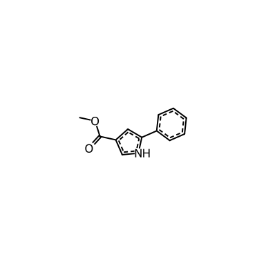 COC(=O)c1c[nH]c(-c2ccccc2)c1